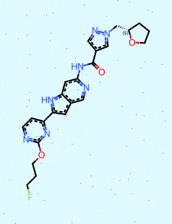 O=C(Nc1cc2[nH]c(-c3ccnc(OCCCF)n3)cc2cn1)c1cnn(C[C@@H]2CCCO2)c1